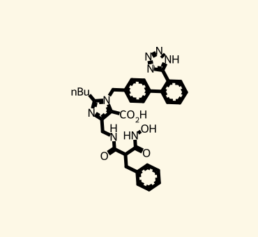 CCCCc1nc(CNC(=O)C(Cc2ccccc2)C(=O)NO)c(C(=O)O)n1Cc1ccc(-c2ccccc2-c2nnn[nH]2)cc1